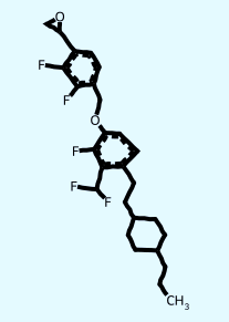 CCCC1CCC(CCc2ccc(OCc3ccc(C4CO4)c(F)c3F)c(F)c2C(F)F)CC1